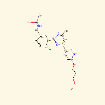 CCOCCCOc1ccc(-c2cc(=O)[nH]c(-c3cc(CNC(=O)C(C)C)ccc3Cl)n2)cn1